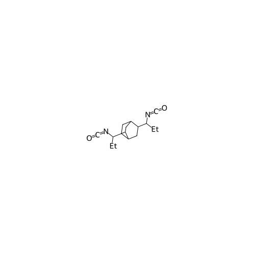 CCC(N=C=O)C1CC2CCC1CC2C(CC)N=C=O